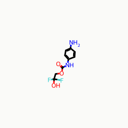 Nc1ccc(NC(=O)OCC(O)(F)F)cc1